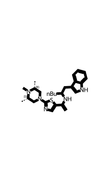 C=C(NC(CCCC)Cc1c[nH]c2ccccc12)c1cnc(N2C[C@@H](C)N(C)[C@@H](C)C2)s1